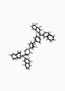 C1=CC(c2ccc(-c3ccc(N(c4ccc5ccccc5c4)c4ccc5ccccc5c4)cc3)cc2)CC=C1N(c1ccc2ccccc2c1)c1ccc2ccccc2c1